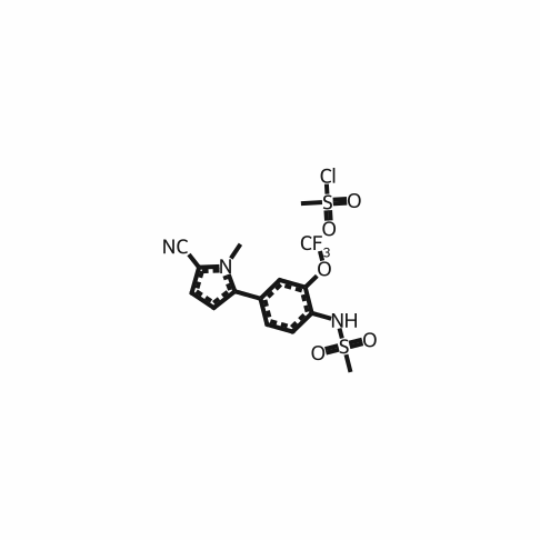 CS(=O)(=O)Cl.Cn1c(C#N)ccc1-c1ccc(NS(C)(=O)=O)c(OC(F)(F)F)c1